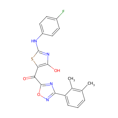 Cc1cccc(-c2noc(C(=O)c3sc(Nc4ccc(F)cc4)nc3O)n2)c1C